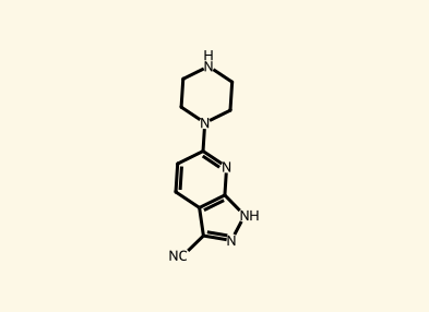 N#Cc1n[nH]c2nc(N3CCNCC3)ccc12